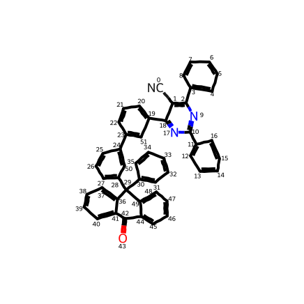 N#Cc1c(-c2ccccc2)nc(-c2ccccc2)nc1-c1cccc(-c2cccc(C3(c4ccccc4)c4ccccc4C(=O)c4ccccc43)c2)c1